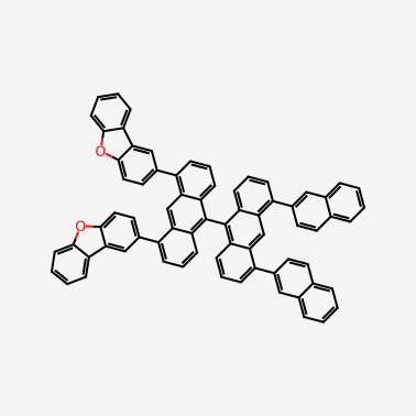 c1ccc2cc(-c3cccc4c(-c5c6cccc(-c7ccc8oc9ccccc9c8c7)c6cc6c(-c7ccc8oc9ccccc9c8c7)cccc56)c5cccc(-c6ccc7ccccc7c6)c5cc34)ccc2c1